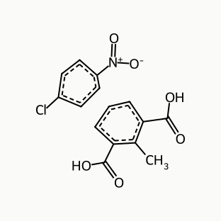 Cc1c(C(=O)O)cccc1C(=O)O.O=[N+]([O-])c1ccc(Cl)cc1